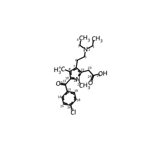 CCN(CC)CCc1c(C)c(C(=O)c2ccc(Cl)cc2)n(C)c1CC(=O)O